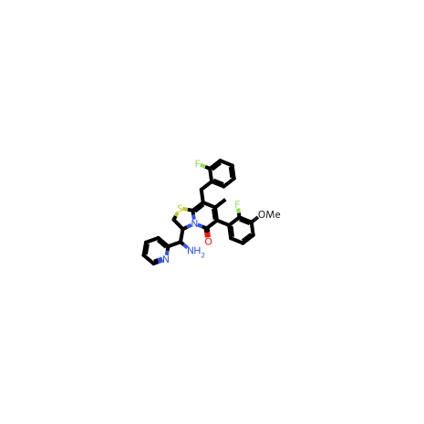 COc1cccc(-c2c(C)c(Cc3ccccc3F)c3n(c2=O)C(C(N)c2ccccn2)CS3)c1F